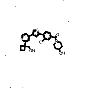 O=C(c1ccc(-c2cc(-c3ccnc(C4(CO)CCC4)c3)cs2)c(Cl)c1)N1CCC(O)CC1